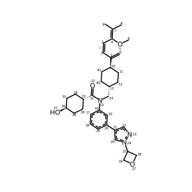 C=C(/C=C\C(OC)=C(C)C)[C@H]1CC[C@H](CN(c2cccc(-c3cnn(C4COC4)c3)c2)C(=O)[C@H]2CC[C@H](O)CC2)CC1